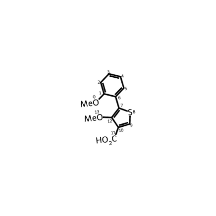 COc1ccccc1-c1scc(C(=O)O)c1OC